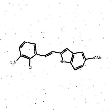 COc1ccc2[nH]c(/C=C/c3cccc([N+](=O)[O-])c3Cl)cc2c1